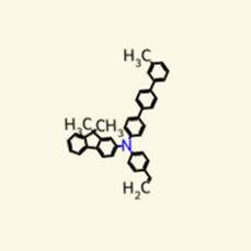 C=Cc1ccc(N(c2ccc(-c3ccc(-c4cccc(C)c4)cc3)cc2)c2ccc3c(c2)C(C)(C)c2ccccc2-3)cc1